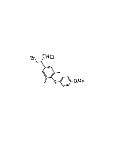 COc1ccc(Sc2c(C)cc(C(C=O)CBr)cc2C)cc1